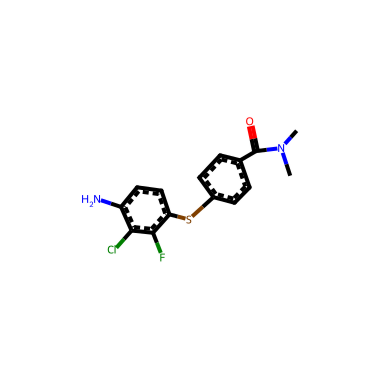 CN(C)C(=O)c1ccc(Sc2ccc(N)c(Cl)c2F)cc1